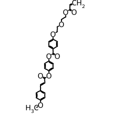 C=CC(=O)OCCOCCOc1ccc(C(=O)Oc2ccc(OC(=O)/C=C/c3ccc(OC)cc3)cc2)cc1